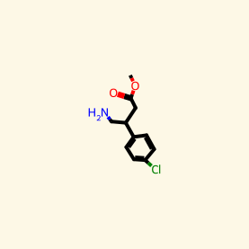 COC(=O)CC(CN)c1ccc(Cl)cc1